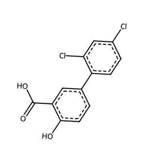 O=C(O)c1cc(-c2ccc(Cl)cc2Cl)ccc1O